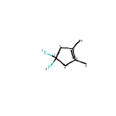 CC1=C(C)CC(F)(F)C1